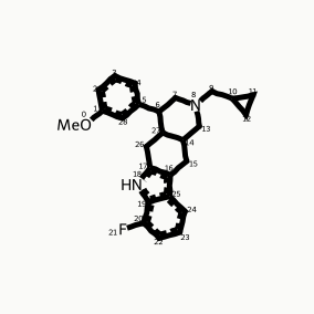 COc1cccc(C2CN(CC3CC3)CC3Cc4c([nH]c5c(F)cccc45)CC32)c1